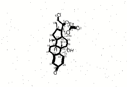 CCC(=O)O[C@@]1(C(=O)CCl)[C@H](C)C[C@H]2[C@@H]3CCC4=CC(=O)C=C[C@]4(C)[C@@]3(F)[C@@H](O)C[C@@]21C